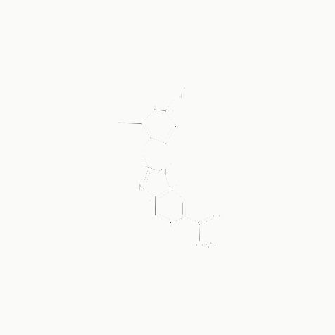 COC(=O)c1ccc2nc(Oc3ccc(Br)cc3F)[nH]c2c1